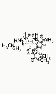 CN(C)CCNC(=O)N[C@H]1CC[C@H](Nc2cc(-n3c4c(c5c3CC(C)(C)CC5=O)CCC4)ccc2C(N)=O)CC1